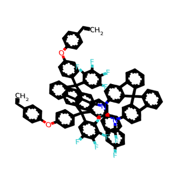 C=Cc1ccc(Oc2ccc(C3(c4cc(F)c(F)c(F)c4F)c4ccccc4-c4ccc(N(c5ccc(F)cc5)c5ccc6c(c5)C5(c7ccccc7-6)c6ccccc6-c6ccc(N(c7ccc(F)cc7)c7ccc8c(c7)C(c7ccc(Oc9ccc(C=C)cc9)cc7)(c7cc(F)c(F)c(F)c7F)c7ccccc7-8)cc65)cc43)cc2)cc1